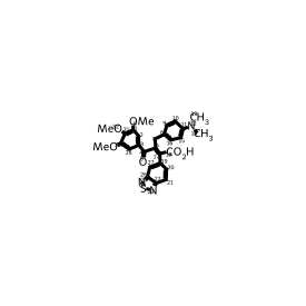 COc1cc(C(=O)C(Cc2ccc(N(C)C)cc2)=C(C(=O)O)c2ccc3nsnc3c2)cc(OC)c1OC